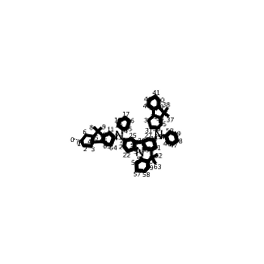 C[C@H]1C=CC2=C(C1)C(C)(C)c1cc(N(c3ccccc3)c3ccc4c(c3)c3cc(N(C5=CCC6C(=C5)C(C)(C)c5ccccc56)c5ccccc5)cc5c3n4-c3ccccc3C5(C)C)ccc12